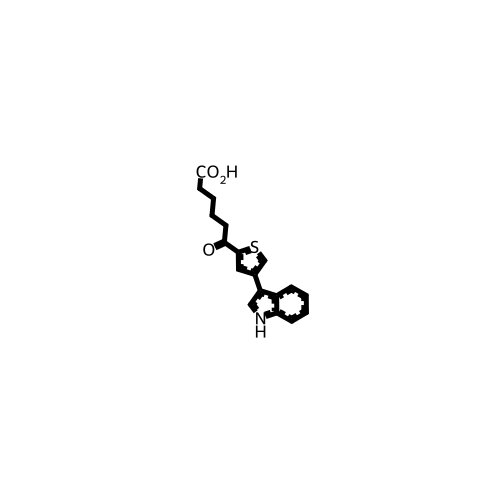 O=C(O)CCCCC(=O)c1cc(-c2c[nH]c3ccccc23)cs1